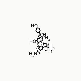 CC(C)C1(CCc2ccc(O)cc2)CC(O)=C(Sc2cc(C(C)(C)C)cc3sc(N)nc23)C(=O)O1